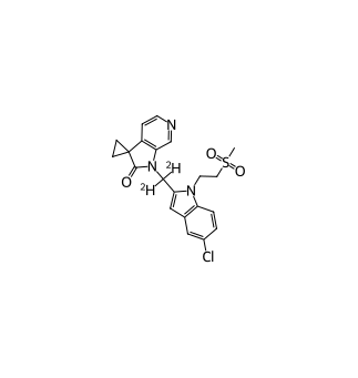 [2H]C([2H])(c1cc2cc(Cl)ccc2n1CCS(C)(=O)=O)N1C(=O)C2(CC2)c2ccncc21